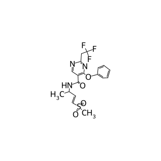 CC(/C=C/S(C)(=O)=O)NC(=O)c1cnc(CC(F)(F)F)nc1Oc1ccccc1